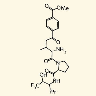 COC(=O)c1ccc(C(=O)CC(C)[C@H](N)C(=O)N2CCC[C@H]2C(=O)NC(C(C)C)C(O)C(F)(F)F)cc1